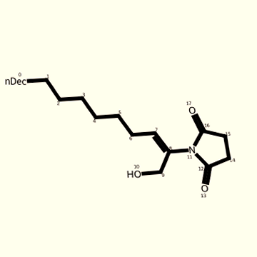 CCCCCCCCCCCCCCCC/C=C(\CO)N1C(=O)CCC1=O